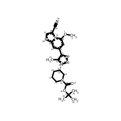 COc1cc(-c2nnn([C@H]3CCCN(C(=O)OC(C)(C)C)C3)c2C)cc2ncc(C#N)n12